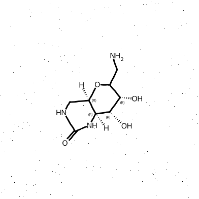 NCC1O[C@@H]2CNC(=O)N[C@@H]2[C@@H](O)[C@H]1O